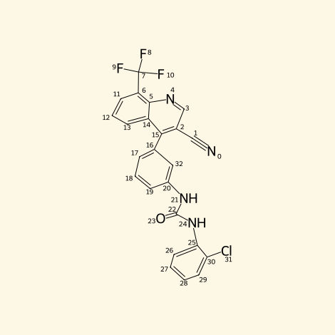 N#Cc1cnc2c(C(F)(F)F)cccc2c1-c1cccc(NC(=O)Nc2ccccc2Cl)c1